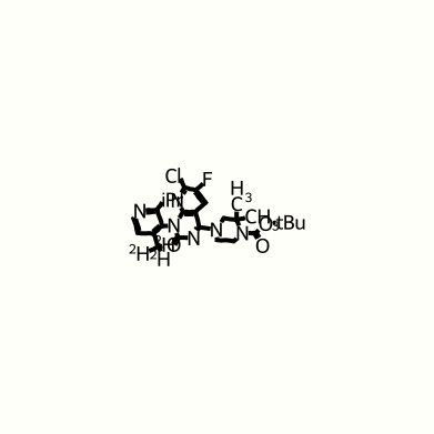 [2H]C([2H])([2H])c1ccnc(C(C)C)c1-n1c(=O)nc(N2CCN(C(=O)OC(C)(C)C)C(C)(C)C2)c2cc(F)c(Cl)nc21